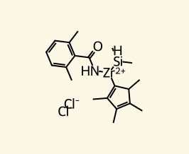 CC1=C(C)C(C)[C]([Zr+2]([NH]C(=O)c2c(C)cccc2C)[SiH](C)C)=C1C.[Cl-].[Cl-]